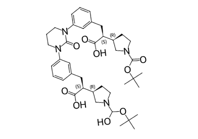 CC(C)(C)OC(=O)N1CC[C@H]([C@H](Cc2cccc(N3CCCN(c4cccc(C[C@H](C(=O)O)[C@H]5CCN(C(O)OC(C)(C)C)C5)c4)C3=O)c2)C(=O)O)C1